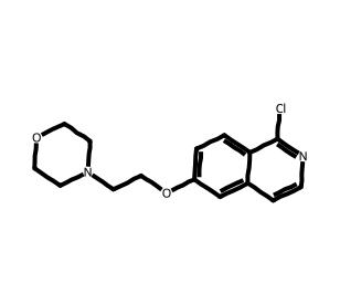 Clc1nccc2cc(OCCN3CCOCC3)ccc12